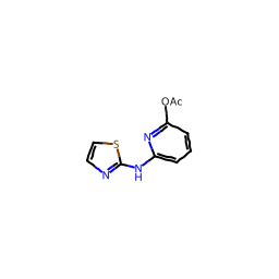 CC(=O)Oc1cccc(Nc2nccs2)n1